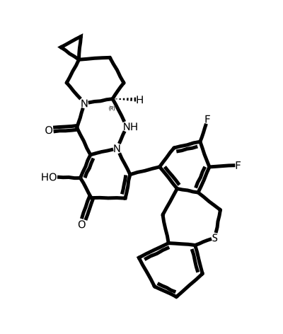 O=C1c2c(O)c(=O)cc(-c3cc(F)c(F)c4c3Cc3ccccc3SC4)n2N[C@@H]2CCC3(CC3)CN12